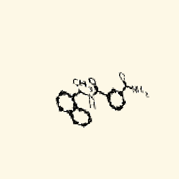 C[C@H](NC(=O)c1cccc(C(N)=O)c1)c1cccc2ccccc12